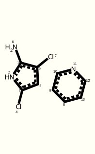 Nc1[nH]c(Cl)cc1Cl.c1ccncc1